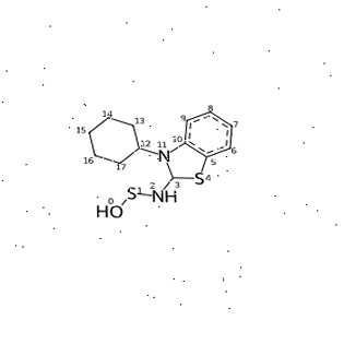 OSNC1Sc2ccccc2N1C1CCCCC1